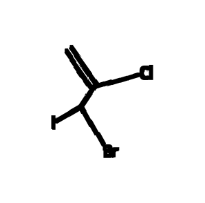 C=C(Cl)C(Br)I